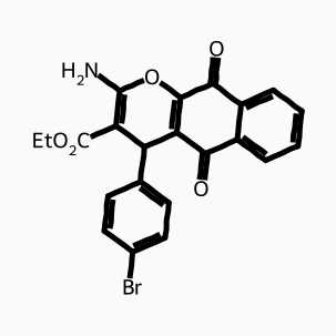 CCOC(=O)C1=C(N)OC2=C(C(=O)c3ccccc3C2=O)C1c1ccc(Br)cc1